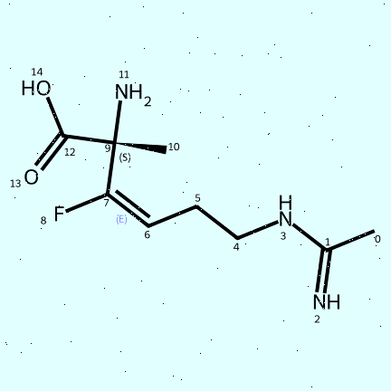 CC(=N)NCC/C=C(/F)[C@@](C)(N)C(=O)O